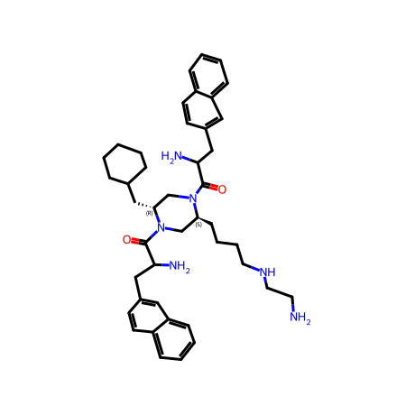 NCCNCCCC[C@H]1CN(C(=O)C(N)Cc2ccc3ccccc3c2)[C@H](CC2CCCCC2)CN1C(=O)C(N)Cc1ccc2ccccc2c1